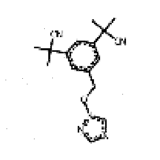 CC(C)(C#N)c1cc(COn2cncn2)cc(C(C)(C)C#N)c1